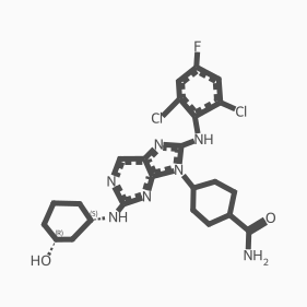 NC(=O)C1CCC(n2c(Nc3c(Cl)cc(F)cc3Cl)nc3cnc(N[C@H]4CCC[C@@H](O)C4)nc32)CC1